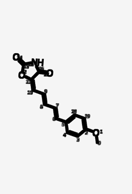 COc1ccc(C=CC=CC=C2OC(=O)NC2=O)cc1